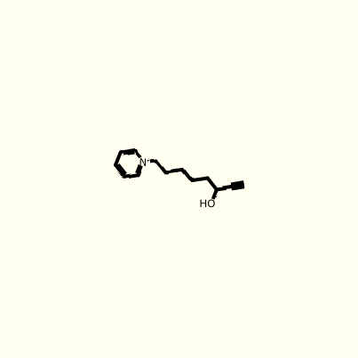 C#CC(O)CCCCC[n+]1ccccc1